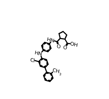 Cc1ccccc1-c1ccc(Nc2ccc(NC(=O)C3CCCC3C(=O)O)cc2)c(Cl)c1